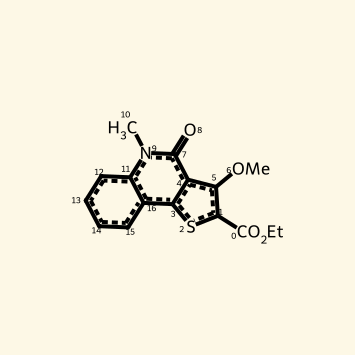 CCOC(=O)c1sc2c(c1OC)c(=O)n(C)c1ccccc21